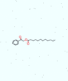 CCCCCCCCCCCC(=O)OCC(=O)c1ccccc1